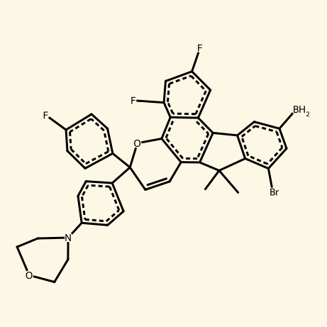 Bc1cc(Br)c2c(c1)-c1c(c3c(c4c(F)cc(F)cc14)OC(c1ccc(F)cc1)(c1ccc(N4CCOCC4)cc1)C=C3)C2(C)C